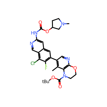 Cc1c(-c2cc3cc(NC(=O)OC4CCN(C)C4)ncc3c(Cl)c2F)cnc2c1N(C(=O)OC(C)(C)C)CCO2